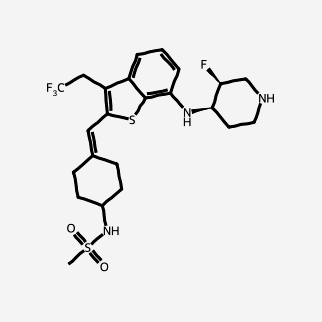 CS(=O)(=O)NC1CCC(=Cc2sc3c(N[C@@H]4CCNC[C@@H]4F)cccc3c2CC(F)(F)F)CC1